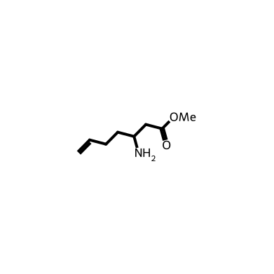 C=CCCC(N)CC(=O)OC